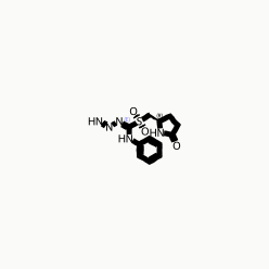 N=N/N=C(\Nc1ccccc1)S(=O)(=O)C[C@H]1CCC(=O)N1